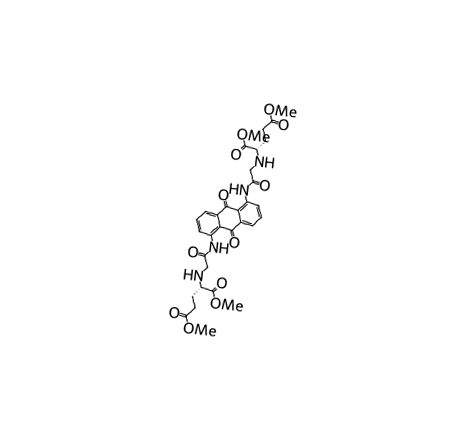 COC(=O)CC[C@H](NCC(=O)Nc1cccc2c1C(=O)c1cccc(NC(=O)CN[C@@H](CCC(=O)OC)C(=O)OC)c1C2=O)C(=O)OC